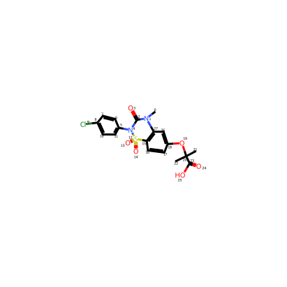 CN1C(=O)N(c2ccc(Cl)cc2)S(=O)(=O)c2ccc(OC(C)(C)C(=O)O)cc21